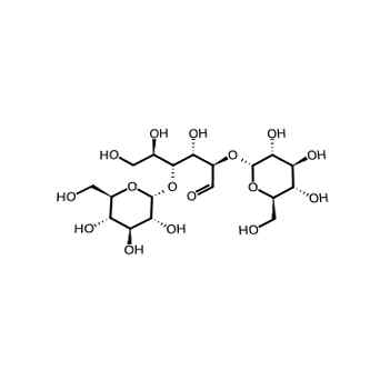 O=C[C@H](O[C@H]1O[C@H](CO)[C@@H](O)[C@H](O)[C@H]1O)[C@@H](O)[C@H](O[C@H]1O[C@H](CO)[C@@H](O)[C@H](O)[C@H]1O)[C@H](O)CO